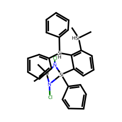 C[SiH](C)c1cccc([Si]2(c3ccccc3)N(Cl)[Si](C)(C)N2Cl)c1[SiH](c1ccccc1)c1ccccc1